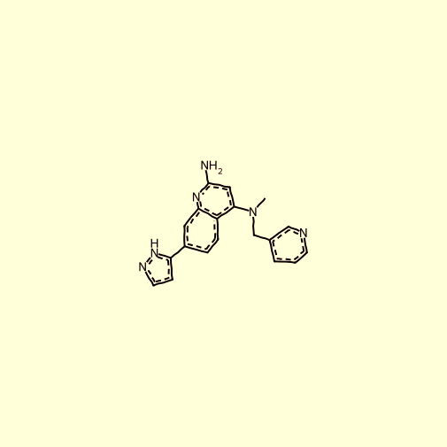 CN(Cc1cccnc1)c1cc(N)nc2cc(-c3ccn[nH]3)ccc12